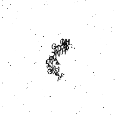 COc1cc(C(=O)N2[C@H]3CC[C@@H]2[C@H](N)C3)cc2nc(-c3cc4ccc([C@@H](C)NC(=O)N5CC(C(F)F)C5)nc4n3CC3CC3)c(C)n12